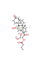 CCCC(=O)OCC(=O)[C@@]1(OCOC)CC[C@H]2[C@@H]3CCC4=CC(=O)CC[C@]4(C)[C@@]3(F)C(O)C[C@@]21C